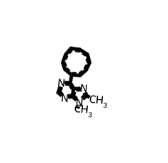 Cc1nc2c(-c3ccccccccc3)ncnc2n1C